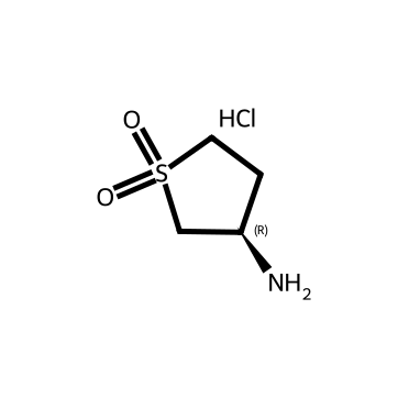 Cl.N[C@@H]1CCS(=O)(=O)C1